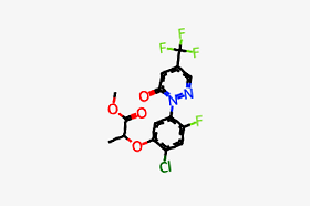 COC(=O)C(C)Oc1cc(-n2ncc(C(F)(F)F)cc2=O)c(F)cc1Cl